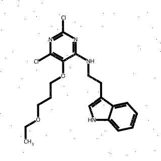 CCOCCCOc1c(Cl)nc(Cl)nc1NCCc1c[nH]c2ccccc12